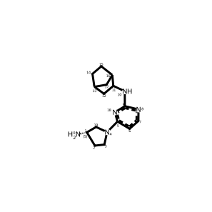 N[C@H]1CCN(c2ccnc(NC3CC4CCC3C4)n2)C1